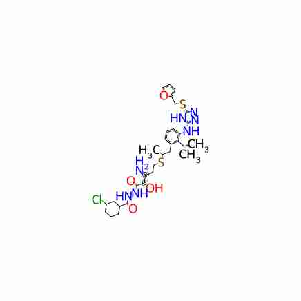 CC(Cc1cccc(Nc2nnc(SCc3ccco3)[nH]2)c1C(C)C)SCC[C@@H](N)[C@H](O)C(=O)NNC(=O)C1CCCC(Cl)C1